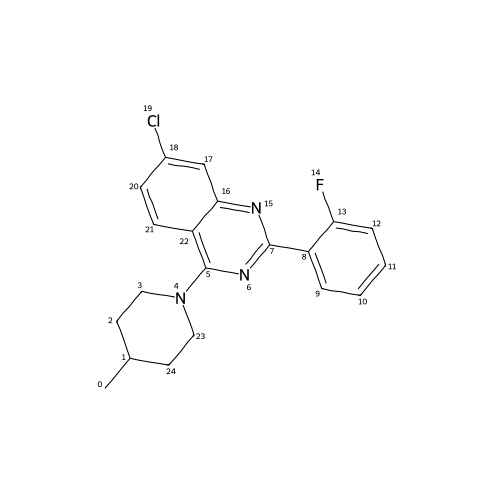 CC1CCN(c2nc(-c3ccccc3F)nc3cc(Cl)ccc23)CC1